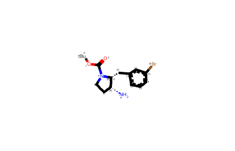 CC(C)(C)OC(=O)N1CC[C@@H](N)[C@H]1Cc1cccc(Br)c1